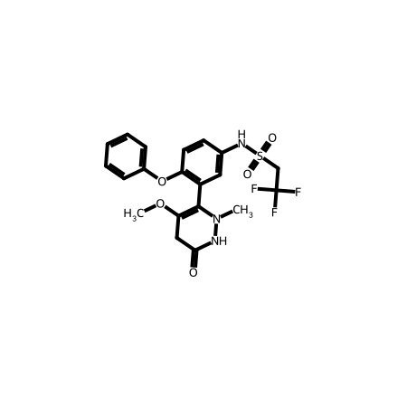 COC1=C(c2cc(NS(=O)(=O)CC(F)(F)F)ccc2Oc2ccccc2)N(C)NC(=O)C1